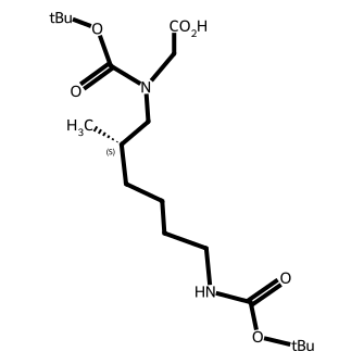 C[C@@H](CCCCNC(=O)OC(C)(C)C)CN(CC(=O)O)C(=O)OC(C)(C)C